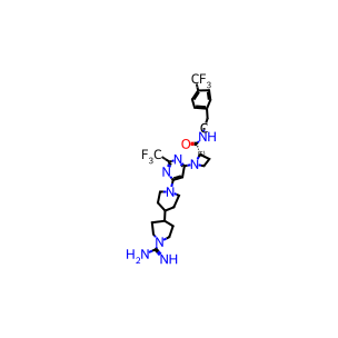 N=C(N)N1CCC(C2CCN(c3cc(N4CC[C@H]4C(=O)NCCc4ccc(C(F)(F)F)cc4)nc(C(F)(F)F)n3)CC2)CC1